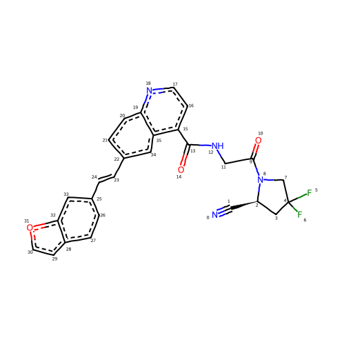 N#C[C@@H]1CC(F)(F)CN1C(=O)CNC(=O)c1ccnc2ccc(/C=C/c3ccc4ccoc4c3)cc12